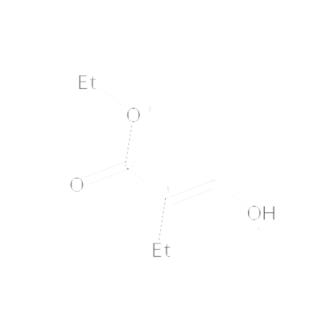 CCOC(=O)C(=CO)CC